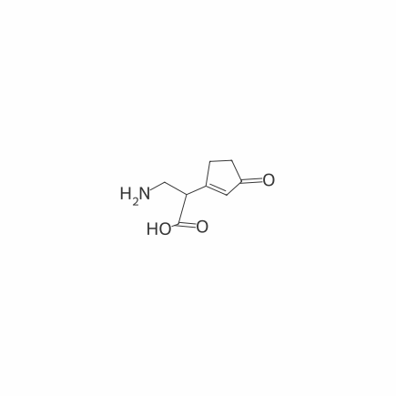 NCC(C(=O)O)C1=CC(=O)CC1